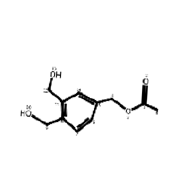 CC(=O)OCc1ccc(CO)c(CO)c1